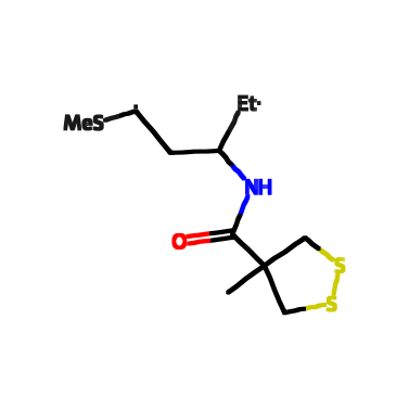 C[CH]C(C[CH]SC)NC(=O)C1(C)CSSC1